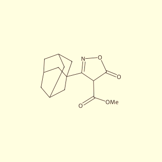 COC(=O)C1C(=O)ON=C1C12CC3CC(CC(C3)C1)C2